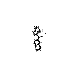 C[C@@H](c1ccc2ncccc2c1)c1nnc(S)n1N